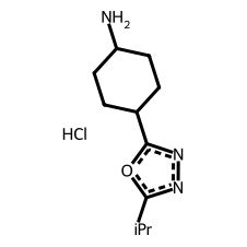 CC(C)c1nnc(C2CCC(N)CC2)o1.Cl